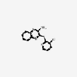 Nc1nc2ccccc2nc1Sc1ncccc1Cl